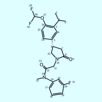 CC(C)c1cc([C@@H]2CC(=O)N(CC(=O)N(C)c3cccc(F)c3)C2)ccc1OC(F)F